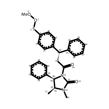 COOSc1ccc([C@@H](CC(=O)N2C(=O)N(C)[C@@H](C)[C@H]2c2ccccc2)c2ccccc2)cc1